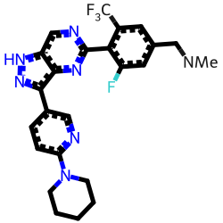 CNCc1cc(F)c(-c2ncc3[nH]nc(-c4ccc(N5CCCCC5)nc4)c3n2)c(C(F)(F)F)c1